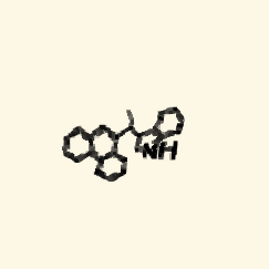 CC(c1c[nH]c2ccccc12)c1cc2ccccc2c2ccccc12